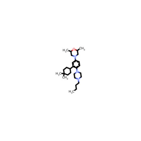 CCCCN1CCN(c2ccc(N3CC(C)OC(C)C3)cc2C2CCC(C)(C)CC2)CC1